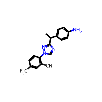 CC(c1ccc(N)cc1)c1ncn(-c2ccc(C(F)(F)F)cc2C#N)n1